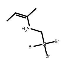 CC=C(C)[SiH2]C[Si](Br)(Br)Br